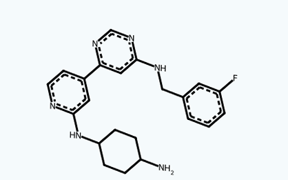 NC1CCC(Nc2cc(-c3cc(NCc4cccc(F)c4)ncn3)ccn2)CC1